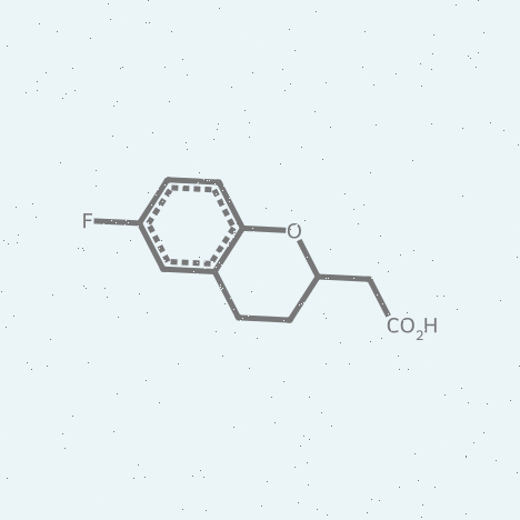 O=C(O)CC1CCc2cc(F)ccc2O1